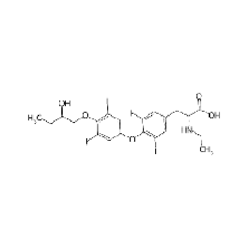 CCNC(Cc1cc(I)c(Oc2cc(I)c(OCC(O)CC)c(I)c2)c(I)c1)C(=O)O